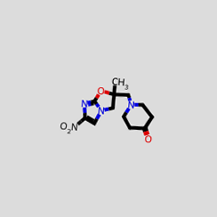 CC1(CN2CCC(=O)CC2)Cn2cc([N+](=O)[O-])nc2O1